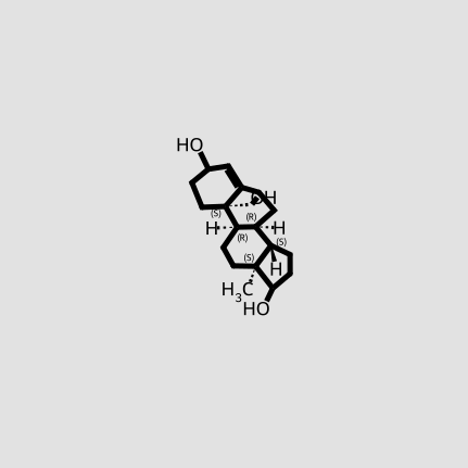 C[C@]12CC[C@@H]3[C@@H](CCC4=CC(O)CC[C@@]43CO)[C@@H]1CCC2O